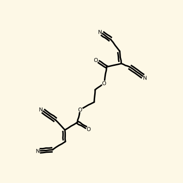 N#CC=C(C#N)C(=O)OCCOC(=O)C(C#N)=CC#N